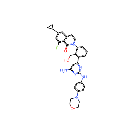 Nc1cc(-c2cccc(-n3ccc4cc(C5CC5)cc(F)c4c3=O)c2CO)nc(Nc2ccc(N3CCOCC3)cc2)n1